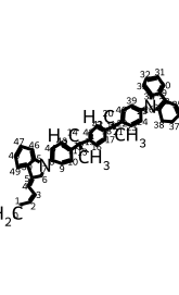 C=C/C=C\C=C1/CN(c2ccc(C(C)(C)c3ccc(C(C)(C)c4ccc(-n5c6c(c7ccccc75)C=CCC6)cc4)cc3)cc2)c2ccccc21